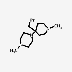 CC(C)CC1(N2CCN(C)CC2)CCN(C)CC1